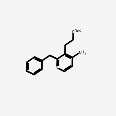 CCCCCCCCCCCCc1c(C)ccnc1Cc1ccccc1